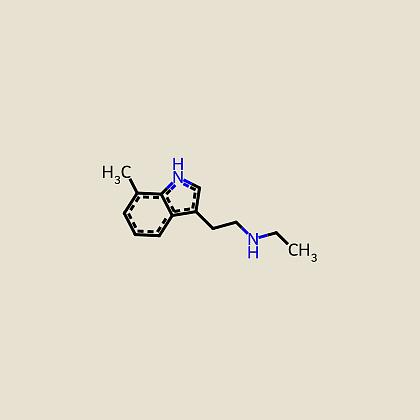 CCNCCc1c[nH]c2c(C)cccc12